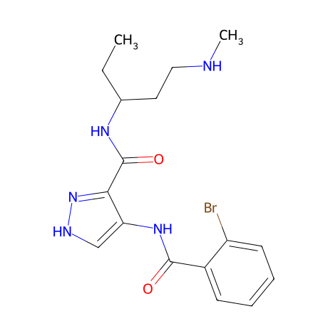 CCC(CCNC)NC(=O)c1n[nH]cc1NC(=O)c1ccccc1Br